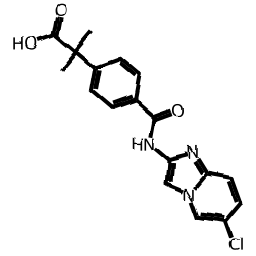 CC(C)(C(=O)O)c1ccc(C(=O)Nc2cn3cc(Cl)ccc3n2)cc1